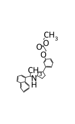 CCOC(=O)COc1cccc(C2CCC(NC(C)c3cccc4ccccc34)C2)c1